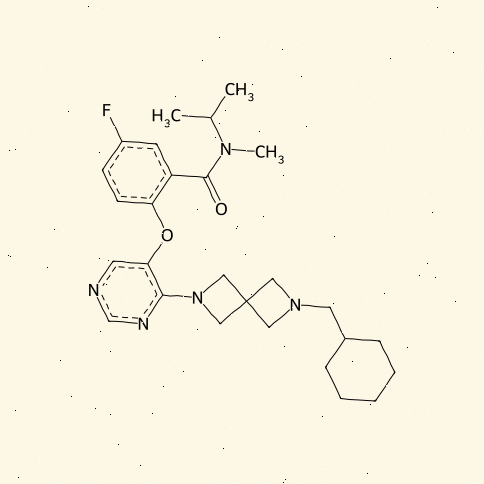 CC(C)N(C)C(=O)c1cc(F)ccc1Oc1cncnc1N1CC2(CN(CC3CCCCC3)C2)C1